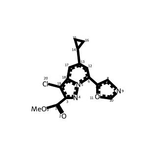 COC(=O)c1nn2c(-c3cnco3)cc(C3CC3)cc2c1Cl